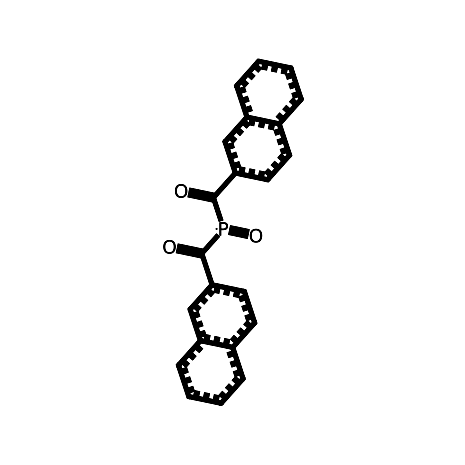 O=C(c1ccc2ccccc2c1)[P](=O)C(=O)c1ccc2ccccc2c1